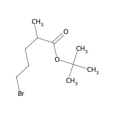 CC(CCCBr)C(=O)OC(C)(C)C